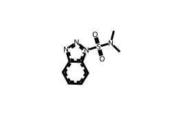 CN(C)S(=O)(=O)n1nnc2ccccc21